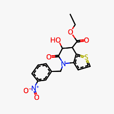 CCOC(=O)C1c2sccc2N(Cc2cccc([N+](=O)[O-])c2)C(=O)C1O